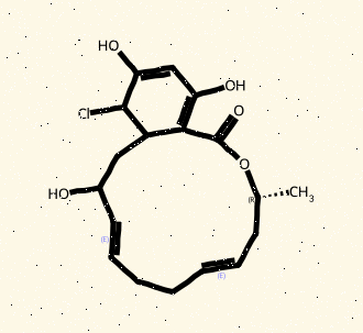 C[C@@H]1C/C=C/CC/C=C/C(O)CC2C(=C(O)C=C(O)C2Cl)C(=O)O1